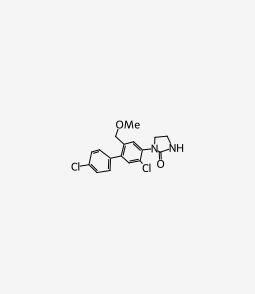 COCc1cc(N2CCNC2=O)c(Cl)cc1-c1ccc(Cl)cc1